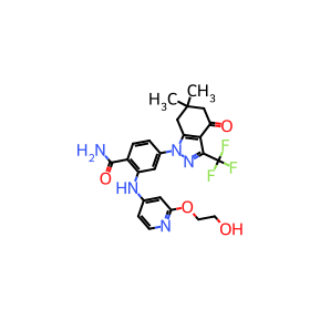 CC1(C)CC(=O)c2c(C(F)(F)F)nn(-c3ccc(C(N)=O)c(Nc4ccnc(OCCO)c4)c3)c2C1